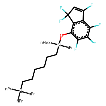 CCCCCC[Si](CCCCCC[Si](CCC)(CCC)CCC)(Oc1c(F)c(F)c(F)c2c1C(F)(F)[C]=C2F)C(C)C